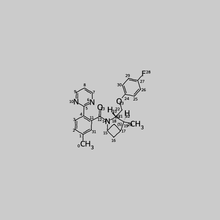 Cc1ccc(-c2ncccn2)c(C(=O)N2C3CC(C3)[C@H](C)[C@H]2COc2ccc(F)cc2)c1